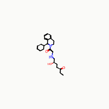 CCC(=O)CCC(O)CNCC(=O)N1CCc2ccccc2C1C1CCCCC1